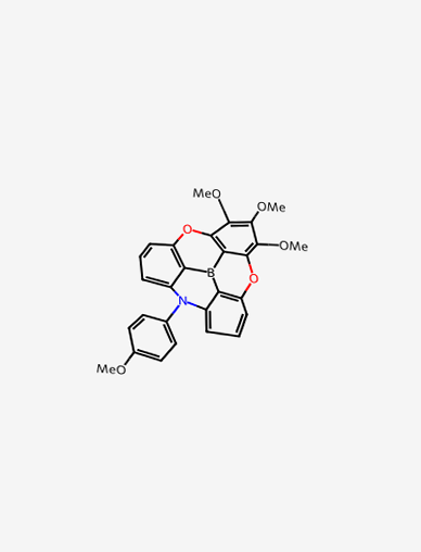 COc1ccc(N2c3cccc4c3B3c5c(cccc52)Oc2c(OC)c(OC)c(OC)c(c23)O4)cc1